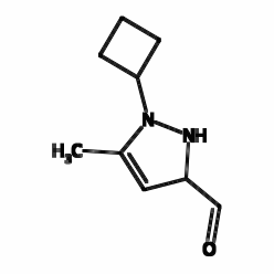 CC1=CC(C=O)NN1C1CCC1